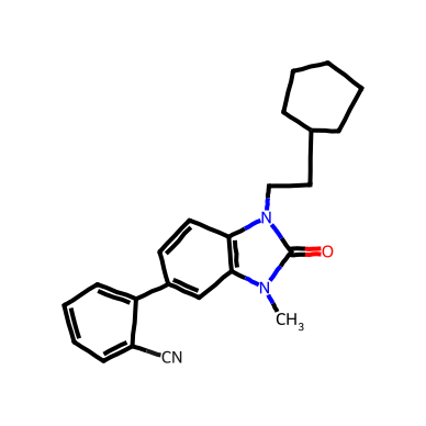 Cn1c(=O)n(CCC2CCCCC2)c2ccc(-c3ccccc3C#N)cc21